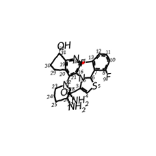 NC(=O)C1=CSC(c2c(F)cccc2F)N1c1cnc2c(c1N1CCC[C@H](N)C1)CC[C@@H]2O